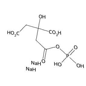 O=C(O)CC(O)(CC(=O)OP(=O)(O)O)C(=O)O.[NaH].[NaH]